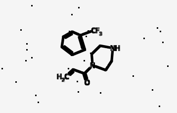 C=CC(=O)N1CCNCC1.FC(F)(F)c1ccccc1